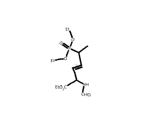 CCOC(=O)C(/C=C/C(C)P(=O)(OCC)OCC)NC=O